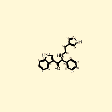 O=C(c1c[nH]c2ccccc12)C(NCCc1cn[nH]c1)c1ccccc1